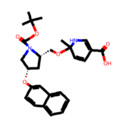 CC(C)(C)OC(=O)N1C[C@@H](Oc2ccc3ccccc3c2)C[C@H]1COC1(C)C=CC(C(=O)O)=CN1